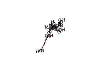 C[C@@H](CCC(=O)O)C(=O)N[C@@H](CCCCN(CC(=O)O)CC(=O)O)C(=O)N[C@@H](CO)C(=O)N[C@@H](CO)C(=O)NCCOCCOCCNC(=O)CCCCCCCCCCCCCCCCC(=O)O